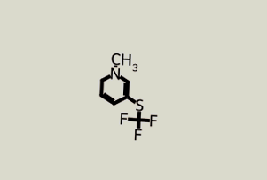 CN1C=C(SC(F)(F)F)C=CC1